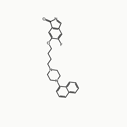 O=C1N=Cc2cc(F)c(OCCCCN3CCN(c4cccc5ccccc45)CC3)cc21